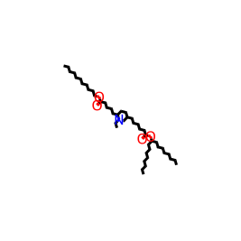 CCCCCCCCCCCOC(=O)CCCCC1CCC(CCCCCC(=O)OC(CCCCCCCC)CCCCCCCC)CN1CC